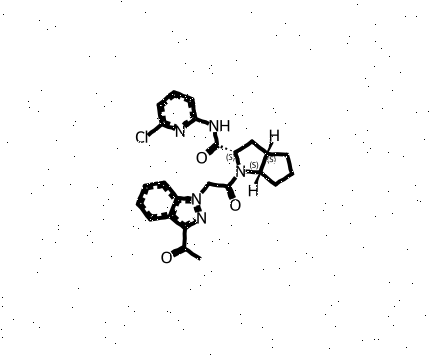 CC(=O)c1nn(CC(=O)N2[C@H](C(=O)Nc3cccc(Cl)n3)C[C@@H]3CCC[C@@H]32)c2ccccc12